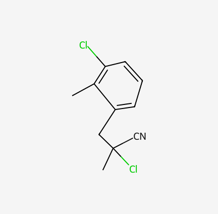 Cc1c(Cl)cccc1CC(C)(Cl)C#N